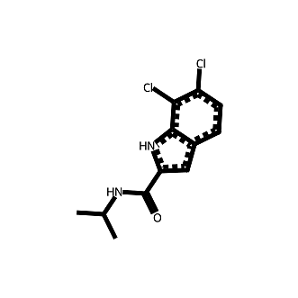 CC(C)NC(=O)c1cc2ccc(Cl)c(Cl)c2[nH]1